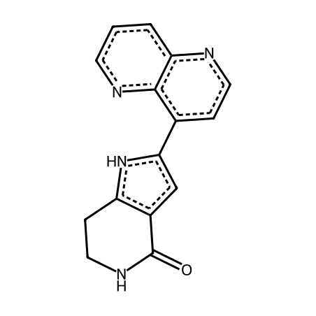 O=C1NCCc2[nH]c(-c3ccnc4cccnc34)cc21